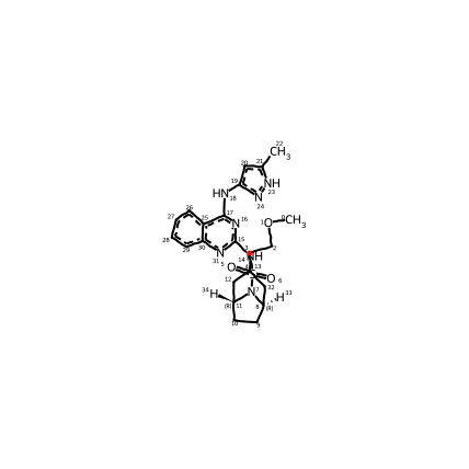 COCCS(=O)(=O)N1[C@@H]2CC[C@@H]1CC(Nc1nc(Nc3cc(C)[nH]n3)c3ccccc3n1)C2